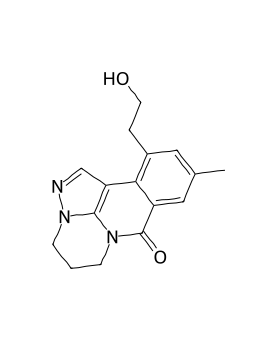 Cc1cc(CCO)c2c(c1)c(=O)n1c3c2cnn3CCC1